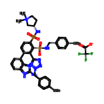 COc1ccc(CNS(=O)(=O)c2c(S(=O)(=O)N[C@H]3CC[N+](C)(C)C3)ccc(-c3cccc4[nH]c(N)nc34)c2-c2nnn(Cc3ccc(OC)cc3)n2)cc1.O=C([O-])C(F)(F)F